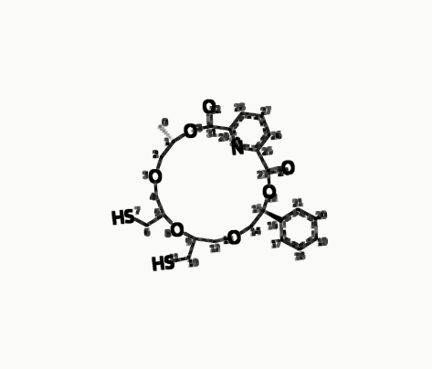 C[C@H]1COCC(CS)OC(CS)COC[C@H](c2ccccc2)OC(=O)c2cccc(n2)C(=O)O1